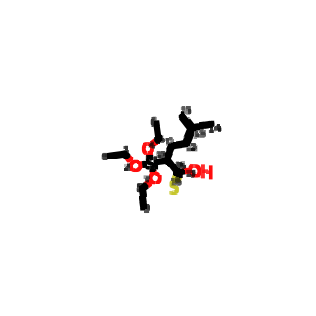 CCO[Si](OCC)(OCC)C(CCC(C)C)C(O)=S